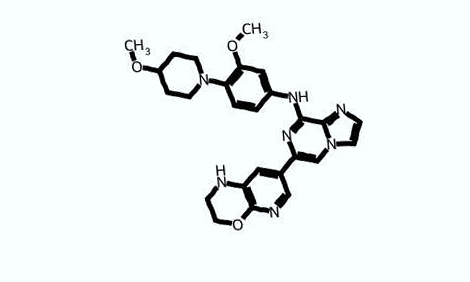 COc1cc(Nc2nc(-c3cnc4c(c3)NCCO4)cn3ccnc23)ccc1N1CCC(OC)CC1